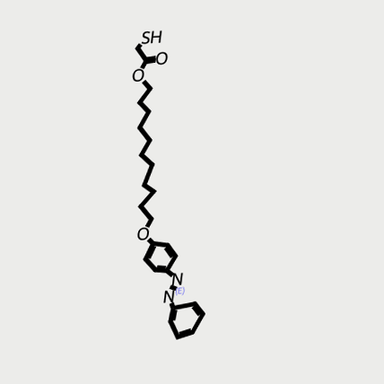 O=C(CS)OCCCCCCCCCCCOc1ccc(/N=N/c2ccccc2)cc1